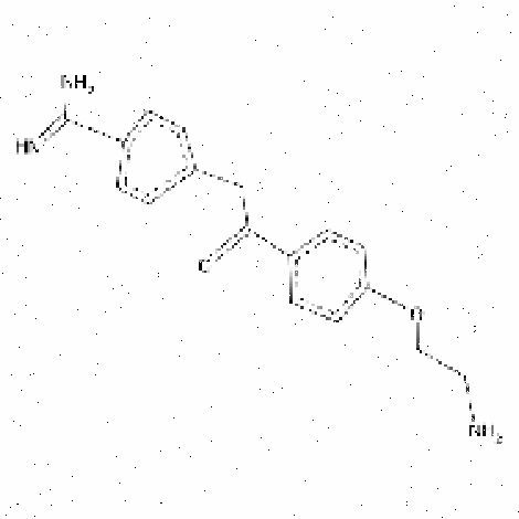 N=C(N)c1ccc(CC(=O)c2ccc(OCCN)cc2)cc1